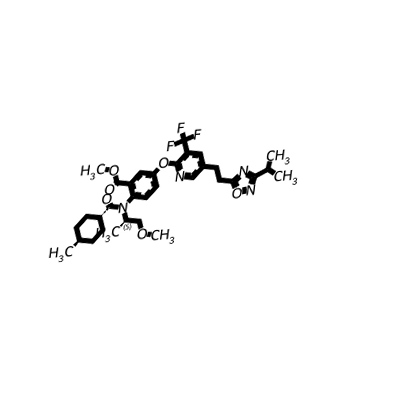 COC[C@H](C)N(c1ccc(Oc2ncc(CCc3nc(C(C)C)no3)cc2C(F)(F)F)cc1C(=O)OC)C(=O)[C@H]1CC[C@H](C)CC1